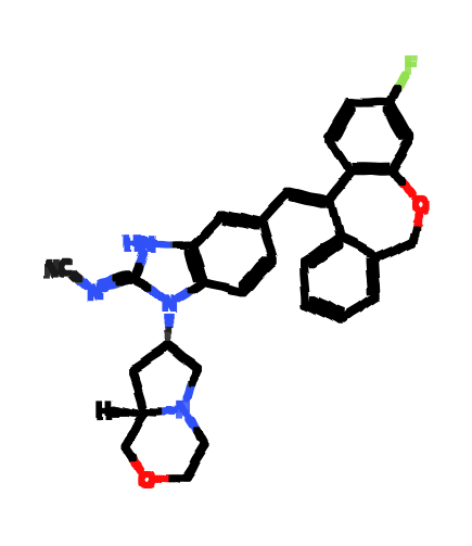 N#C/N=c1\[nH]c2cc(/C=C3\c4ccccc4COc4cc(F)ccc43)ccc2n1[C@H]1C[C@H]2COCCN2C1